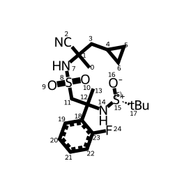 CC(C#N)(CC1CC1)NS(=O)(=O)CC(C)(N[S@+]([O-])C(C)(C)C)c1ccccc1F